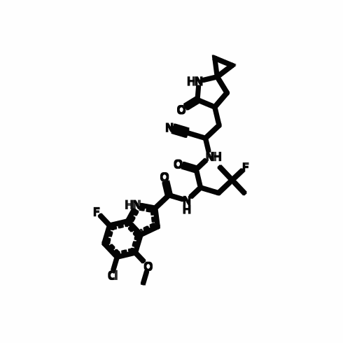 COc1c(Cl)cc(F)c2[nH]c(C(=O)NC(CC(C)(C)F)C(=O)NC(C#N)CC3CC4(CC4)NC3=O)cc12